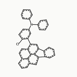 Clc1ccc(N(c2ccccc2)c2ccccc2)cc1-c1cc2c3c(cc4cccc5ccc1c3c54)-c1ccccc1-2